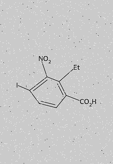 CCc1c(C(=O)O)ccc(I)c1[N+](=O)[O-]